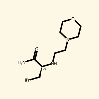 CC(C)C[C@H](NCCN1CCOCC1)C(N)=O